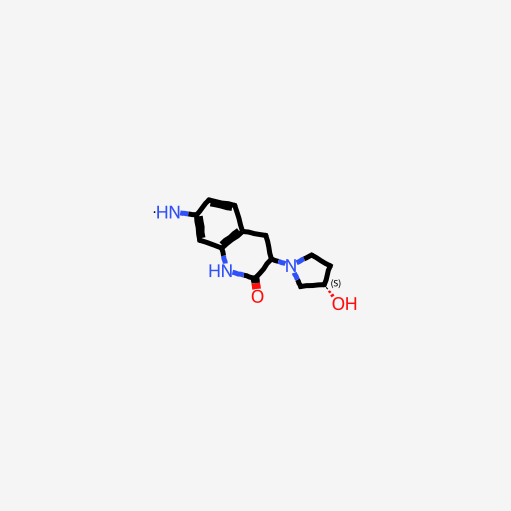 [NH]c1ccc2c(c1)NC(=O)C(N1CC[C@H](O)C1)C2